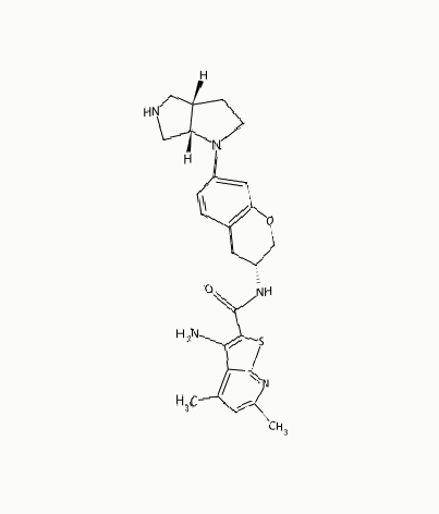 Cc1cc(C)c2c(N)c(C(=O)N[C@H]3COc4cc(N5CC[C@H]6CNC[C@H]65)ccc4C3)sc2n1